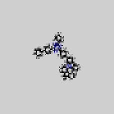 CC1(C)c2ccccc2-c2c(-n3c4ccccc4c4ccc(-c5ccc(-c6nc(-c7ccccc7)nc(-c7ccc(-c8ccccc8)cc7)n6)cc5)cc43)cccc21